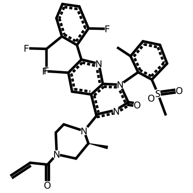 C=CC(=O)N1CCN(c2nc(=O)n(-c3c(C)cccc3S(C)(=O)=O)c3nc(-c4c(F)cccc4C(F)F)c(F)cc23)[C@@H](C)C1